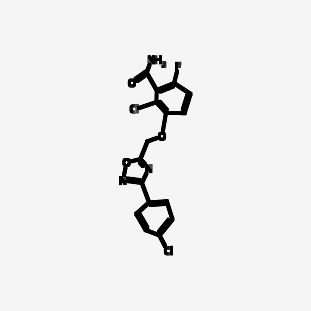 NC(=O)c1c(F)ccc(OCc2nc(-c3ccc(Cl)cc3)no2)c1Cl